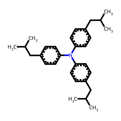 CC(C)Cc1ccc(N(c2ccc(CC(C)C)cc2)c2ccc(CC(C)C)cc2)cc1